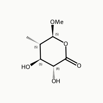 CO[C@H]1OC(=O)[C@H](O)[C@@H](O)[C@@H]1C